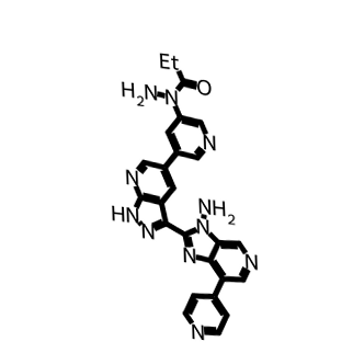 CCC(=O)N(N)c1cncc(-c2cnc3[nH]nc(-c4nc5c(-c6ccncc6)cncc5n4N)c3c2)c1